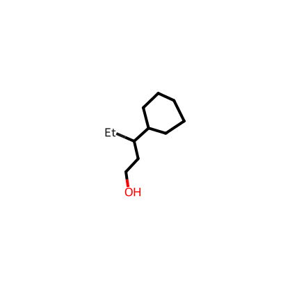 CCC(CCO)C1CCCCC1